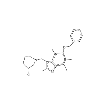 Cc1oc2c(C)c(C)c(OCc3ccccc3)c(C)c2c1CN1CCC[C@@H](Cl)C1